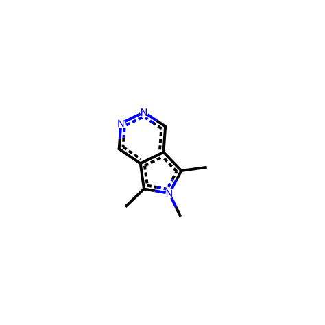 Cc1c2cnncc2c(C)n1C